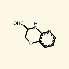 O=CC1COc2cccnc2N1